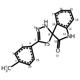 Cc1ccc(C2=NNC3(S2)C(=O)Nc2ccccc23)cc1